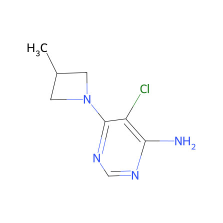 CC1CN(c2ncnc(N)c2Cl)C1